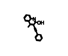 Cc1c(C#Cc2ccccc2)c(O)nc2ccccc12